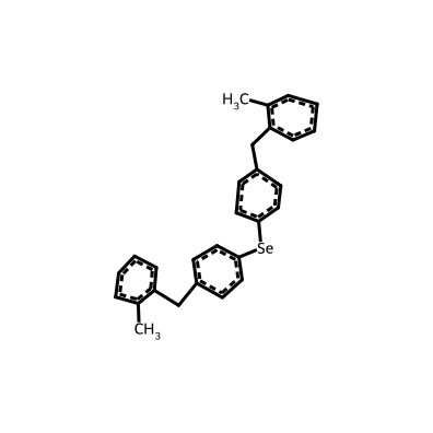 Cc1ccccc1Cc1ccc([Se]c2ccc(Cc3ccccc3C)cc2)cc1